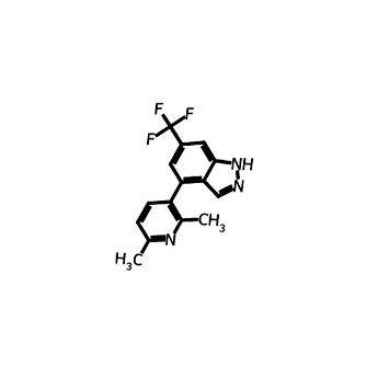 Cc1ccc(-c2cc(C(F)(F)F)cc3[nH]ncc23)c(C)n1